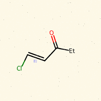 CCC(=O)/C=C/Cl